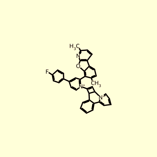 Cc1ccc2c(n1)oc1c(-c3cc(-c4ccc(F)cc4)cc[n+]3C3=CC4C3c3ccccc3-c3cccc[n+]34)c(C)ccc12